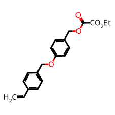 C=Cc1ccc(COc2ccc(COC(=O)C(=O)OCC)cc2)cc1